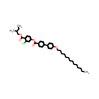 CCCCCCCCCCCCCCOc1ccc(-c2ccc(C(=O)Oc3ccc(C(=O)OCC(C)CC)c(Cl)c3)cc2)cc1